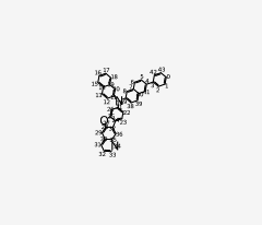 c1ccc(-c2ccc3cc(N(c4ccc5ccccc5c4)c4ccc5c(c4)oc4cc6cccnc6cc45)ccc3c2)cc1